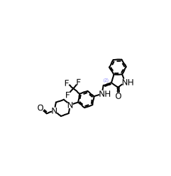 O=CN1CCN(c2ccc(N/C=C3\C(=O)Nc4ccccc43)cc2C(F)(F)F)CC1